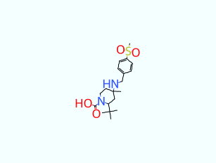 CC1(NCc2ccc(S(C)(=O)=O)cc2)CCN(C(=O)O)C(C(C)(C)C)C1